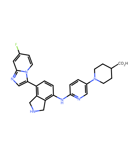 O=C(O)C1CCN(c2ccc(Nc3ccc(-c4cnc5cc(F)ccn45)c4c3CNC4)nc2)CC1